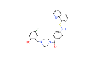 O=C(c1ccc(NSc2cccc3cccnc23)cc1)N1CCN(Cc2cc(Cl)ccc2O)CC1